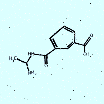 CC(N)NC(=O)c1cccc(C(=O)O)c1